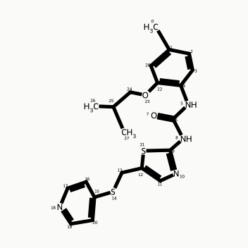 Cc1ccc(NC(=O)Nc2ncc(CSc3ccncc3)s2)c(OCC(C)C)c1